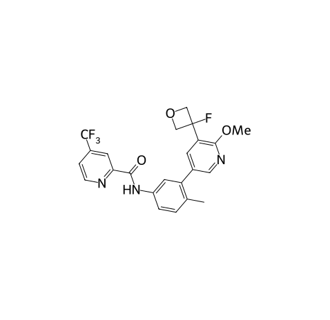 COc1ncc(-c2cc(NC(=O)c3cc(C(F)(F)F)ccn3)ccc2C)cc1C1(F)COC1